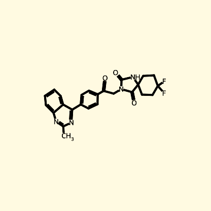 Cc1nc(-c2ccc(C(=O)CN3C(=O)NC4(CCC(F)(F)CC4)C3=O)cc2)c2ccccc2n1